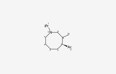 CC(=O)[C@H]1CCCCN(C(C)C)CC1C